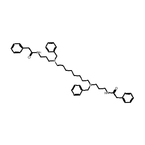 O=C(Cc1ccccc1)NCCCN(CCCCCCCCN(CCCNC(=O)Cc1ccccc1)Cc1ccccc1)Cc1ccccc1